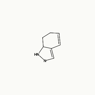 C1=CC2=C[N]NC2CC1